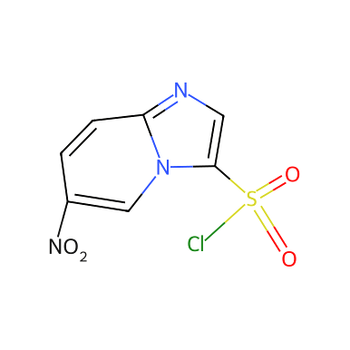 O=[N+]([O-])c1ccc2ncc(S(=O)(=O)Cl)n2c1